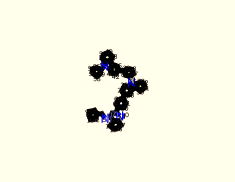 C=N/C(=C\C(=N/Cc1ccccc1)c1ccccc1)c1ccc(-c2ccc3c(c2)c2ccccc2n3-c2cccc(-c3ccc4c(c3)c3ccccc3n4-c3ccccc3)c2)cc1